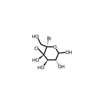 OC[C@@]1(Br)OC(O)[C@H](O)[C@@H](O)[C@]1(O)Cl